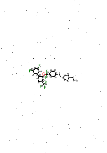 CCC[C@H]1CC[C@H](CCc2ccc(C(F)(F)Oc3cc(C(F)(F)F)ccc3-c3cc(F)cc(F)c3)cc2)CC1